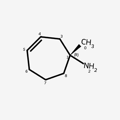 C[C@]1(N)CC=CCCC1